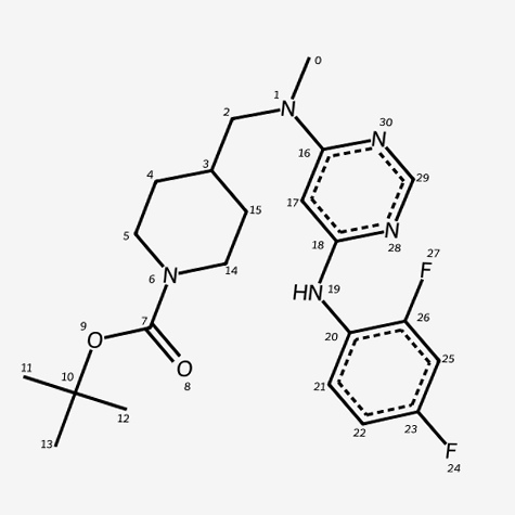 CN(CC1CCN(C(=O)OC(C)(C)C)CC1)c1cc(Nc2ccc(F)cc2F)ncn1